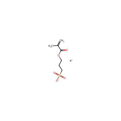 C=C(C)C(=O)OCCCS(=O)(=O)[O-].[K+]